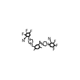 C=C(c1cc(CN2CCN(c3cc(F)c(F)c(F)c3C#N)CC2)c(C)cc1C)N1CCN(c2cc(F)c(F)c(F)c2C#N)CC1